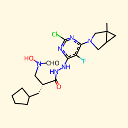 CC12CC1CN(c1nc(Cl)nc(NNC(=O)[C@H](CC3CCCC3)CN(O)C=O)c1F)C2